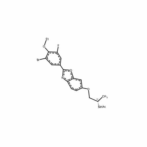 CCOc1c(F)cc(-c2nc3ccc(OC[C@H](C)NC(C)=O)cc3o2)cc1Br